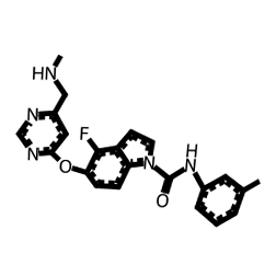 CNCc1cc(Oc2ccc3c(ccn3C(=O)Nc3cccc(C)c3)c2F)ncn1